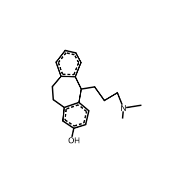 CN(C)CCCC1c2ccccc2CCc2cc(O)ccc21